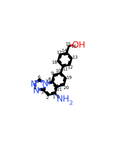 Nc1cc2nncn2c2cc(-c3ccc(CO)cc3)ccc12